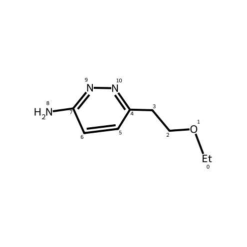 CCOCCc1ccc(N)nn1